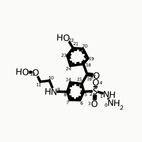 NNS(=O)(=O)c1ccc(NCCOO)cc1C(=O)c1ccc(O)cc1